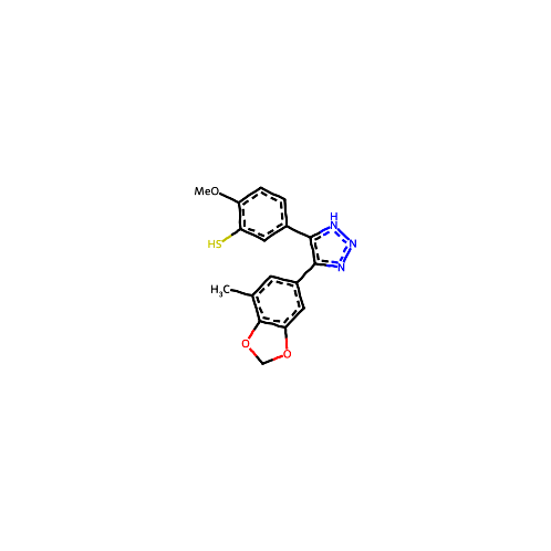 COc1ccc(-c2[nH]nnc2-c2cc(C)c3c(c2)OCO3)cc1S